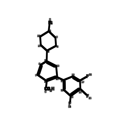 CCC1CCC(c2ccc(C(=O)O)c(-c3cc(F)c(F)c(F)c3)c2)CC1